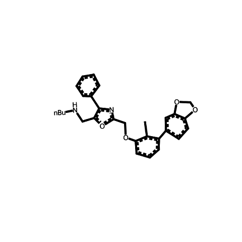 CCCCNCc1oc(COc2cccc(-c3ccc4c(c3)OCO4)c2C)nc1-c1ccccc1